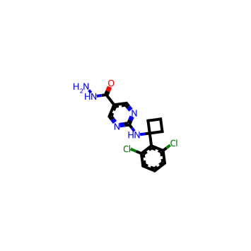 NNC(=O)c1cnc(NC2(c3c(Cl)cccc3Cl)CCC2)nc1